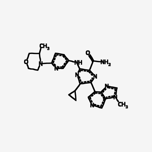 CC1COCCN1c1ccc(Nc2nc(C3CC3)c(-c3cncc4c3ncn4C)nc2C(N)=O)cn1